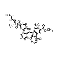 COC(=O)c1cc2c(cc1C)C(=C(Nc1ccc(S(=O)(=O)N(C)OCCO)cc1)c1ccccc1)C(=O)N2C(C)=O